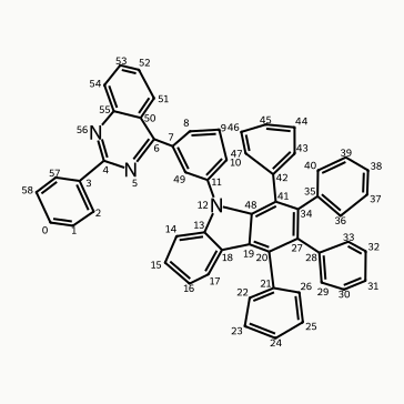 c1ccc(-c2nc(-c3cccc(-n4c5ccccc5c5c(-c6ccccc6)c(-c6ccccc6)c(-c6ccccc6)c(-c6ccccc6)c54)c3)c3ccccc3n2)cc1